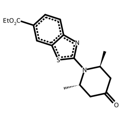 CCOC(=O)c1ccc2nc(N3[C@@H](C)CC(=O)C[C@@H]3C)sc2c1